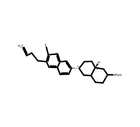 C=CCCc1cc2ccc([C@@H]3CC[C@@H]4CC(CCCCC)CCC4C3)cc2cc1F